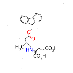 CC(CN[C@@H](CCC(=O)O)C(=O)O)CC(=O)OCC1c2ccccc2-c2ccccc21